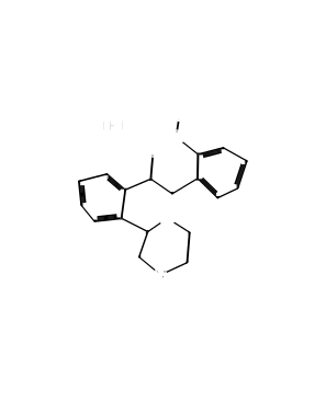 Cl.OC(Cc1ccccc1OC(F)(F)F)c1ccccc1C1CNCCO1